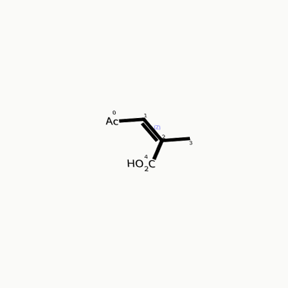 CC(=O)/C=C(/C)C(=O)O